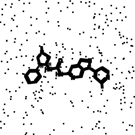 Cc1cc(-n2ncc3cc(NC(=O)N[C@@H]4CN(C)C[C@H]4c4ccccc4)ncc32)ccn1